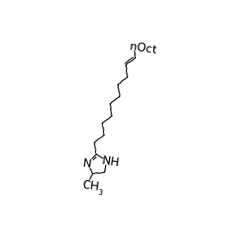 CCCCCCCCC=CCCCCCCCCC1=NC(C)CN1